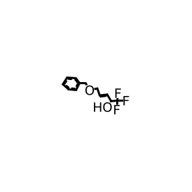 O[C@H](/C=C/COCc1ccccc1)C(F)(F)F